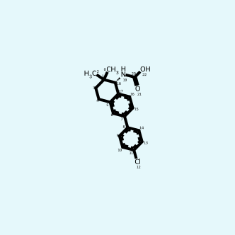 CC1(C)CCc2cc(-c3ccc(Cl)cc3)ccc2[C@H]1NC(=O)O